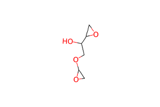 OC(COC1CO1)C1CO1